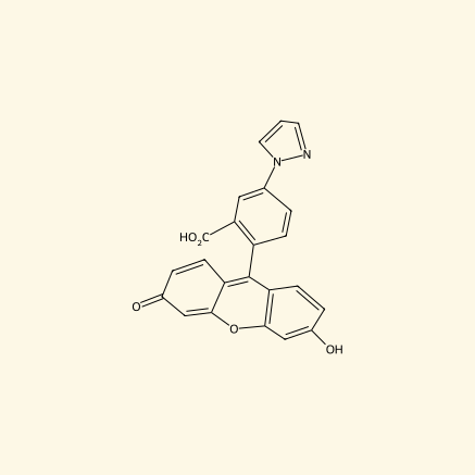 O=C(O)c1cc(-n2cccn2)ccc1-c1c2ccc(=O)cc-2oc2cc(O)ccc12